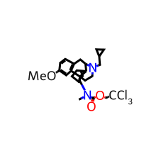 COc1ccc2c(c1)C13CCN(CC4CC4)C(C2)C12CCC(N(C)C(=O)OCC(Cl)(Cl)Cl)C3CC2